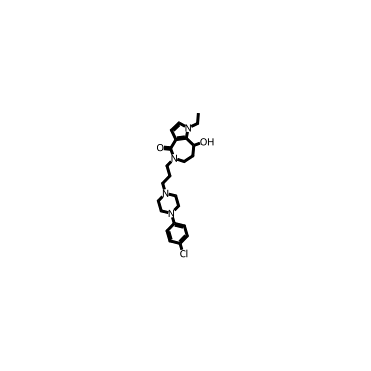 CCn1ccc2c1C(O)CCN(CCCN1CCN(c3ccc(Cl)cc3)CC1)C2=O